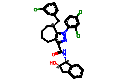 O=C(N[C@@H]1c2ccccc2C[C@@H]1O)c1nn(-c2ccc(Cl)cc2Cl)c2c1CCCC[C@H]2Cc1cccc(Cl)c1